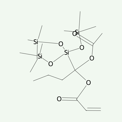 C=CC(=O)OC(CCC)(OC(C)=O)[Si](O[Si](C)(C)C)(O[Si](C)(C)C)O[Si](C)(C)C